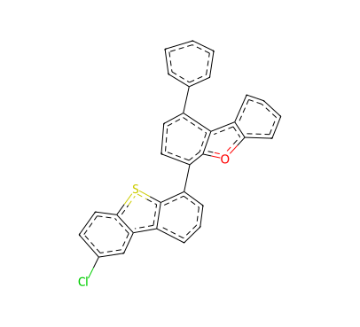 Clc1ccc2sc3c(-c4ccc(-c5ccccc5)c5c4oc4ccccc45)cccc3c2c1